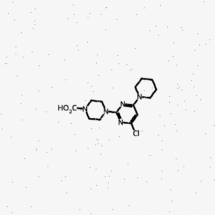 O=C(O)N1CCN(c2nc(Cl)cc(N3CCCCC3)n2)CC1